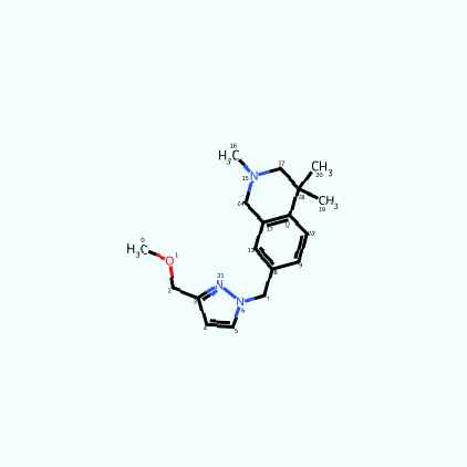 COCc1ccn(Cc2ccc3c(c2)CN(C)CC3(C)C)n1